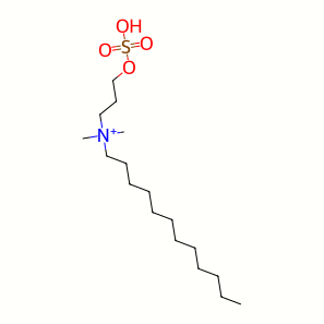 CCCCCCCCCCCC[N+](C)(C)CCCOS(=O)(=O)O